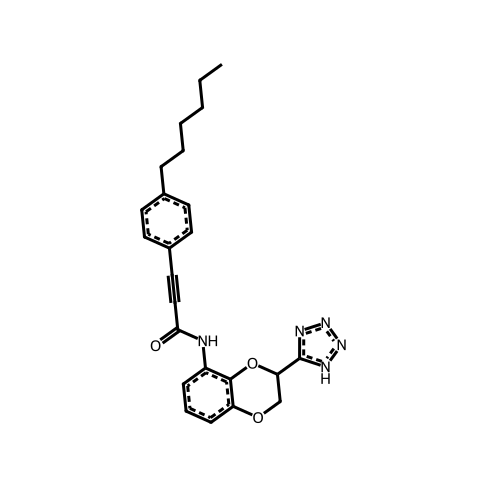 CCCCCCc1ccc(C#CC(=O)Nc2cccc3c2OC(c2nnn[nH]2)CO3)cc1